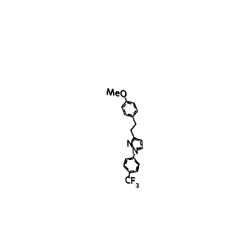 COc1ccc(CCc2ccn(-c3ccc(C(F)(F)F)cc3)n2)cc1